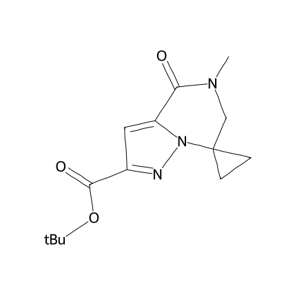 CN1CC2(CC2)n2nc(C(=O)OC(C)(C)C)cc2C1=O